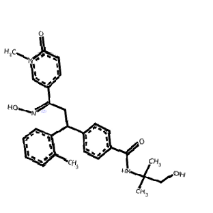 Cc1ccccc1C(C/C(=N/O)c1ccc(=O)n(C)c1)c1ccc(C(=O)NC(C)(C)CO)cc1